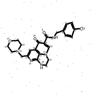 O=C(NCc1ccc(Cl)cc1)c1cn2c3c(nc(CN4CCOCC4)cc3c1=O)NCC2